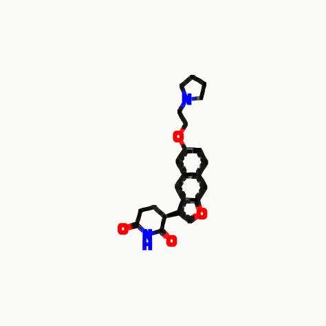 O=C1CC[C@@H](c2coc3cc4ccc(OCCN5CCCC5)cc4cc23)C(=O)N1